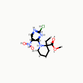 CCC1(C(=O)OC)CCCCN1c1nc(Cl)ncc1[N+](=O)[O-]